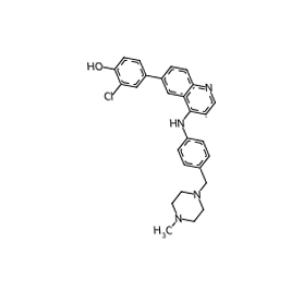 CN1CCN(Cc2ccc(Nc3[c]cnc4ccc(-c5ccc(O)c(Cl)c5)cc34)cc2)CC1